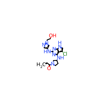 C=CC(=O)N1CCC(Nc2nc(Nc3cnn(CCO)c3)nc3[nH]cc(Cl)c23)C1